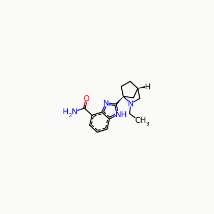 CCN1C[C@H]2CC[C@]1(c1nc3c(C(N)=O)cccc3[nH]1)C2